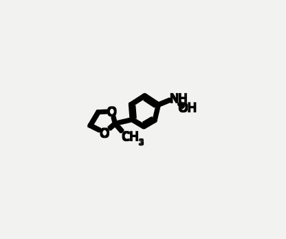 CC1(c2ccc(NO)cc2)OCCO1